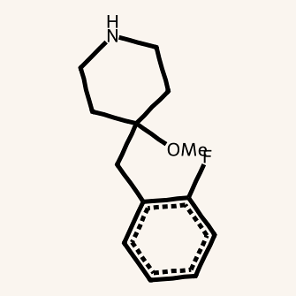 COC1(Cc2ccccc2F)CCNCC1